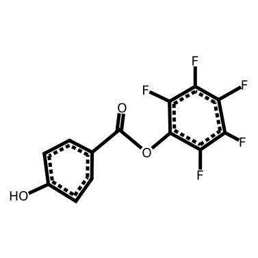 O=C(Oc1c(F)c(F)c(F)c(F)c1F)c1ccc(O)cc1